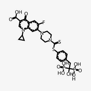 O=C(O)c1cn(C2CC2)c2cc(N3CCN(C(=S)Sc4ccc(CC(O)(P(=O)(O)O)P(=O)(O)O)cc4)CC3)c(F)cc2c1=O